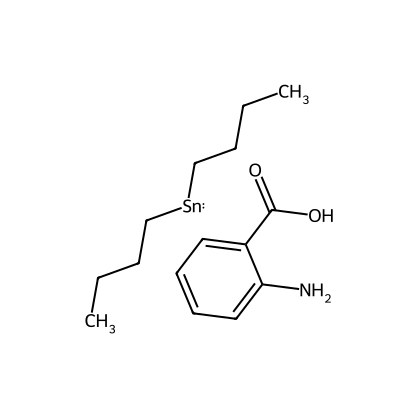 CCC[CH2][Sn][CH2]CCC.Nc1ccccc1C(=O)O